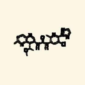 COC(C)c1c(NC(=O)Nc2cc(Cl)c(-n3nccn3)nc2C)cnc2ccc(C)nc12